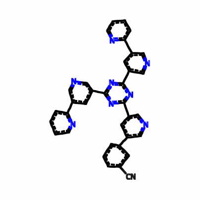 N#Cc1cccc(-c2cncc(-c3nc(-c4cncc(-c5ccccn5)c4)nc(-c4cncc(-c5ccccn5)c4)n3)c2)c1